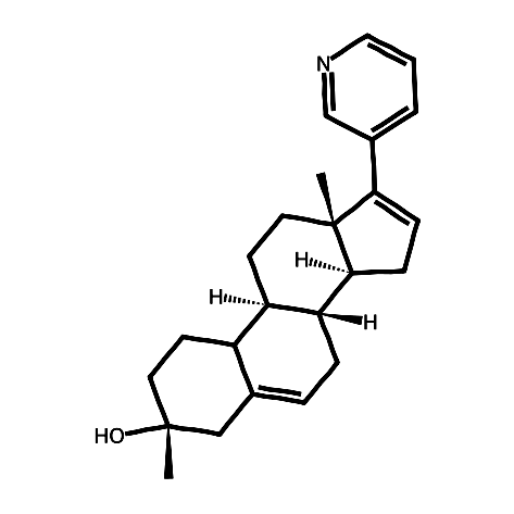 C[C@@]1(O)CCC2C(=CC[C@@H]3[C@@H]2CC[C@]2(C)C(c4cccnc4)=CC[C@@H]32)C1